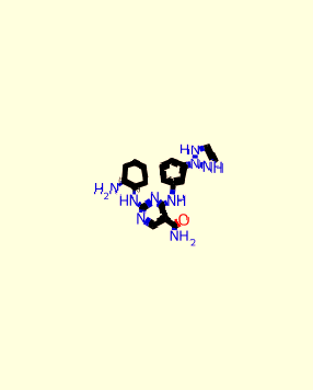 NC(=O)c1cnc(N[C@@H]2CCCC[C@@H]2N)nc1Nc1cccc(N2NC=CN2)c1